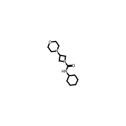 O=C(NC1CCCCC1)N1CC(N2CCOCC2)C1